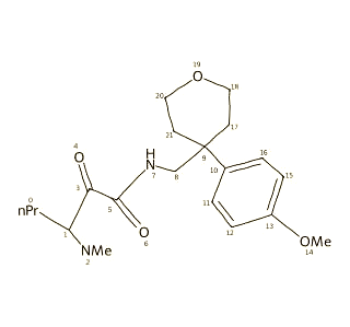 CCCC(NC)C(=O)C(=O)NCC1(c2ccc(OC)cc2)CCOCC1